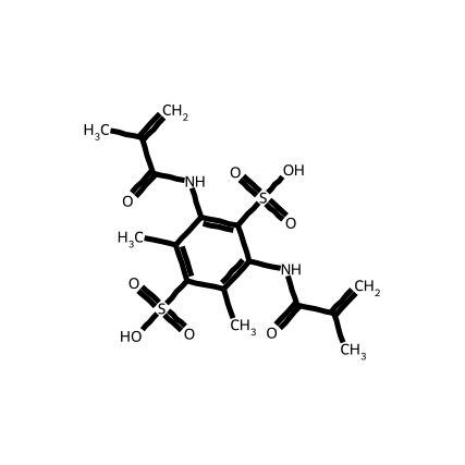 C=C(C)C(=O)Nc1c(C)c(S(=O)(=O)O)c(C)c(NC(=O)C(=C)C)c1S(=O)(=O)O